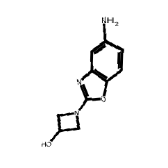 Nc1ccc2oc(N3CC(O)C3)nc2c1